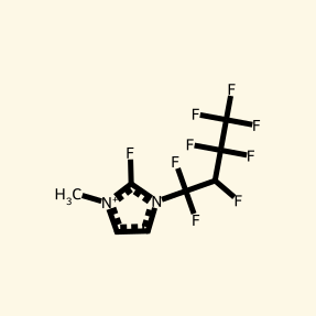 C[n+]1ccn(C(F)(F)C(F)C(F)(F)C(F)(F)F)c1F